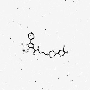 Cc1c(C(=O)NCCCN2CCN(c3ccc(F)c(F)c3)CC2)cc(-c2ccccc2)n1C